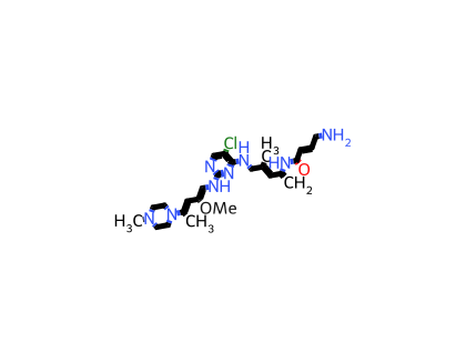 C=C(/C=C(\C)CNc1nc(N/C=C(/C=C(\C)N2CCN(C)CC2)OC)ncc1Cl)NC(=O)/C=C/CN